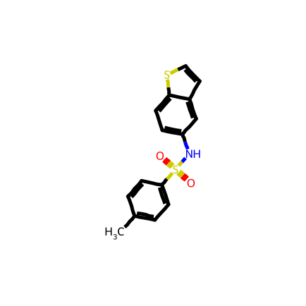 Cc1ccc(S(=O)(=O)Nc2ccc3sccc3c2)cc1